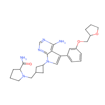 NC(=O)C1CCCN1CC1CC(n2cc(-c3cccc(OCC4CCCO4)c3)c3c(N)ncnc32)C1